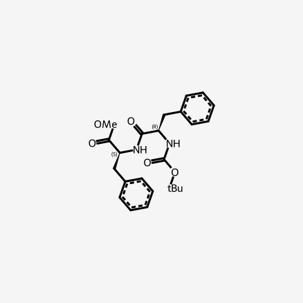 COC(=O)[C@H](Cc1ccccc1)NC(=O)[C@@H](Cc1ccccc1)NC(=O)OC(C)(C)C